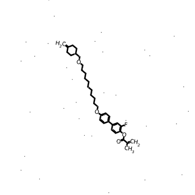 C=C1CCC(COCCCCCCCCCCCOc2ccc(-c3ccc(OC(=O)C(=C)C)c(F)c3)cc2)CC1